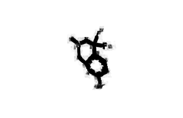 CN1Cc2cc(Br)ccc2C(F)(F)C1